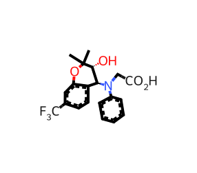 CC1(C)Oc2cc(C(F)(F)F)ccc2[C@H](N(CC(=O)O)c2ccccc2)[C@H]1O